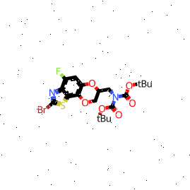 CC(C)(C)OC(=O)N(CC1COc2c(cc(F)c3nc(Br)sc23)O1)C(=O)OC(C)(C)C